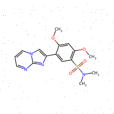 COc1cc(OC)c(S(=O)(=O)N(C)C)cc1-c1cn2cccnc2n1